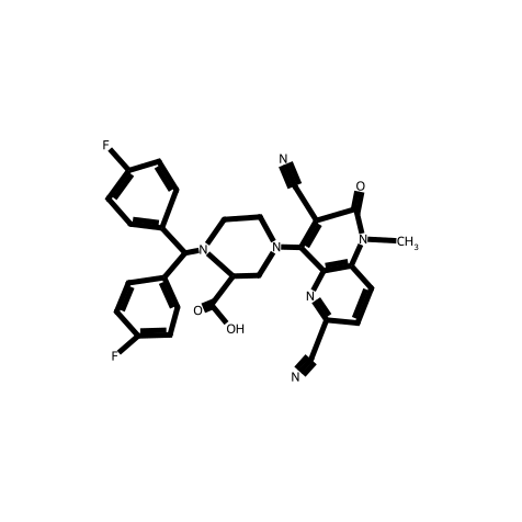 Cn1c(=O)c(C#N)c(N2CCN(C(c3ccc(F)cc3)c3ccc(F)cc3)C(C(=O)O)C2)c2nc(C#N)ccc21